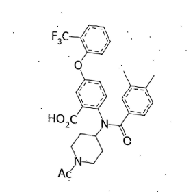 CC(=O)N1CCC(N(C(=O)c2ccc(C)c(C)c2)c2ccc(Oc3ccccc3C(F)(F)F)cc2C(=O)O)CC1